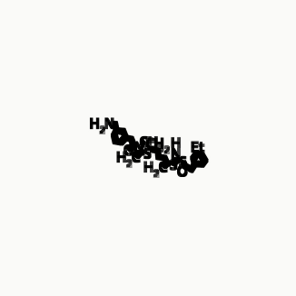 C=C(CCCC(=C)SC(=N)SC(=O)Cc1cccc(CC)c1)SC(=C)N(C)C(=O)Cc1cccc(CN)c1